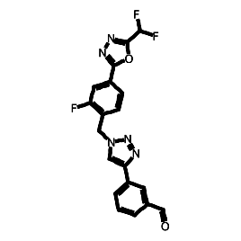 O=Cc1cccc(-c2cn(Cc3ccc(-c4nnc(C(F)F)o4)cc3F)nn2)c1